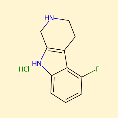 Cl.Fc1cccc2[nH]c3c(c12)CCNC3